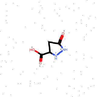 O=C1CC(C(=O)O)NN1